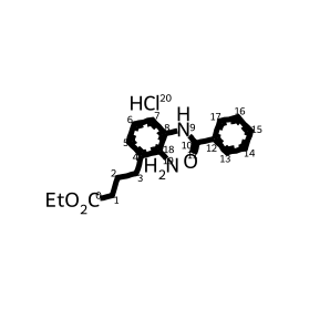 CCOC(=O)CCCc1cccc(NC(=O)c2ccccc2)c1N.Cl